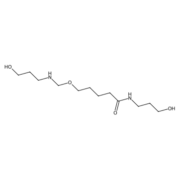 O=C(CCCCOCNCCCO)NCCCO